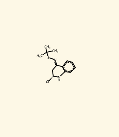 CC(C)(C)S/N=C1\C[C@H](Cl)Nc2ccccc21